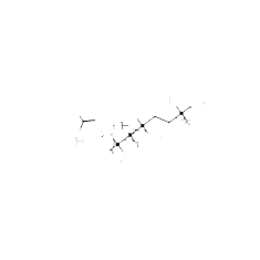 CC(C)O[Si](C)(C)C(F)(F)C(F)(F)C(F)(F)CCC(F)(F)F